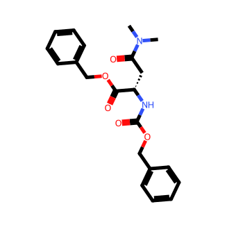 CN(C)C(=O)C[C@H](NC(=O)OCc1ccccc1)C(=O)OCc1ccccc1